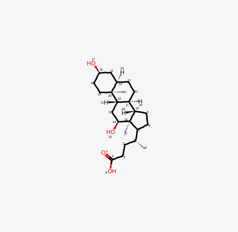 C[C@H](CCC(=O)O)C1CC[C@H]2[C@@H]3CC[C@@H]4C[C@H](O)CC[C@]4(C)[C@H]3C[C@H](O)[C@]12C